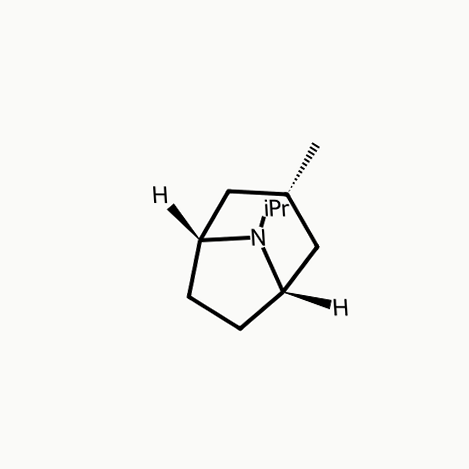 CC(C)N1[C@@H]2CC[C@H]1C[C@@H](C)C2